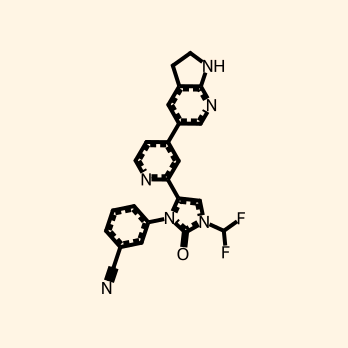 N#Cc1cccc(-n2c(-c3cc(-c4cnc5c(c4)CCN5)ccn3)cn(C(F)F)c2=O)c1